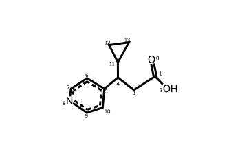 O=C(O)CC(c1ccncc1)C1CC1